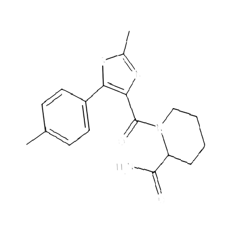 Cc1ccc(-c2sc(C)nc2C(=O)N2CCC[CH]C2C(N)=O)cc1